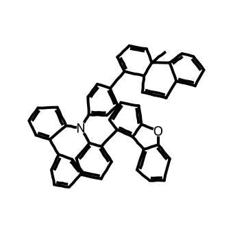 CC12C=CC=C(c3ccc(N(c4ccccc4-c4ccccc4)c4ccccc4-c4cccc5oc6ccccc6c45)cc3)C1C=Cc1ccccc12